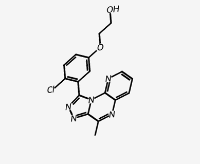 Cc1nc2cccnc2n2c(-c3cc(OCCO)ccc3Cl)nnc12